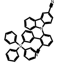 N#Cc1ccc2c(c1)c1ccccc1n2-c1cccc(C#N)c1-c1cccc([Si](c2ccccc2)(c2ccccc2)c2ccccc2)c1